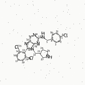 Clc1ccc(CNc2ncc3nc(-c4c(Cl)cccc4Cl)n(CC4CCNC4)c3n2)cc1